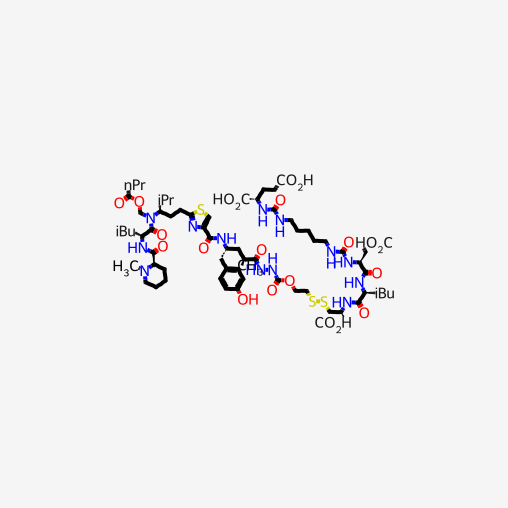 CCCC(=O)OCN(C(=O)[C@@H](NC(=O)[C@H]1CCCCN1C)C(C)CC)[C@H](CCc1nc(C(=O)N[C@@H](Cc2ccc(O)cc2)C[C@H](C)C(=O)NNC(=O)OCCSSC[C@H](NC(=O)[C@@H](NC(=O)[C@H](CC(=O)O)NC(=O)NCCCCCNC(=O)N[C@@H](CCC(=O)O)C(=O)O)C(C)CC)C(=O)O)cs1)C(C)C